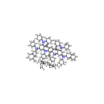 CC(C)(C)c1ccc2c(c1)B1c3cc(C(C)(C)C)ccc3N3c4cc(N(c5ccccc5)c5ccc6ccccc6c5)cc5c4B(c4ccccc4N5c4ccccc4)c4cc5c(c1c43)N2c1cc(N(c2ccccc2)c2ccc3ccccc3c2)cc2c1B5c1ccccc1N2c1ccccc1